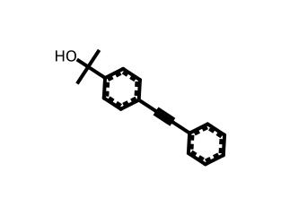 CC(C)(O)c1ccc(C#Cc2ccccc2)cc1